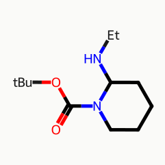 CCNC1CCCCN1C(=O)OC(C)(C)C